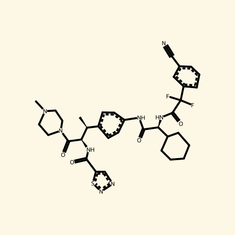 C[C@@H](c1ccc(NC(=O)[C@@H](NC(=O)C(F)(F)c2cccc(C#N)c2)C2CCCCC2)cc1)[C@@H](NC(=O)c1cnns1)C(=O)N1CCN(C)CC1